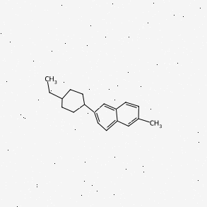 CCC1CCC(c2ccc3cc(C)ccc3c2)CC1